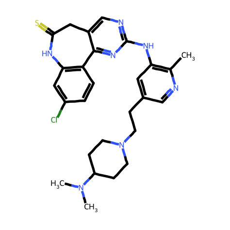 Cc1ncc(CCN2CCC(N(C)C)CC2)cc1Nc1ncc2c(n1)-c1ccc(Cl)cc1NC(=S)C2